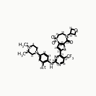 CCc1cc(N2CCN(C)[C@H](C)C2)ccc1Nc1ncc(C(F)(F)F)c(-c2cc3c(s2)C(=O)N(C2COC2)CCS3(=O)=O)n1